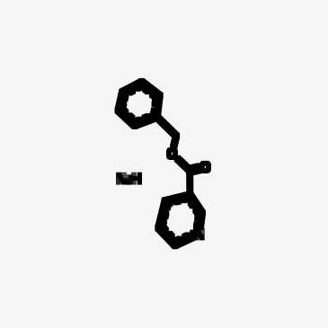 O=C(OCc1ccccc1)c1cccnc1.[NaH]